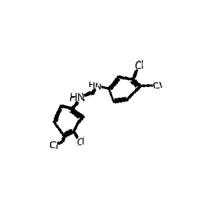 Clc1ccc(NCNc2ccc(Cl)c(Cl)c2)cc1Cl